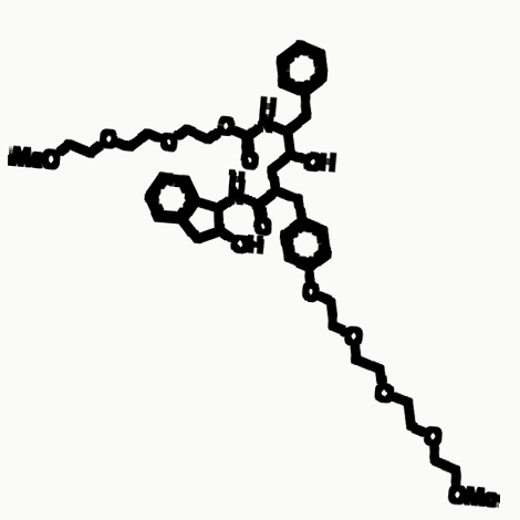 COCCOCCOCCOCCOc1ccc(CC(CC(O)C(Cc2ccccc2)NC(=O)OCCOCCOCCOC)C(=O)NC2c3ccccc3CC2O)cc1